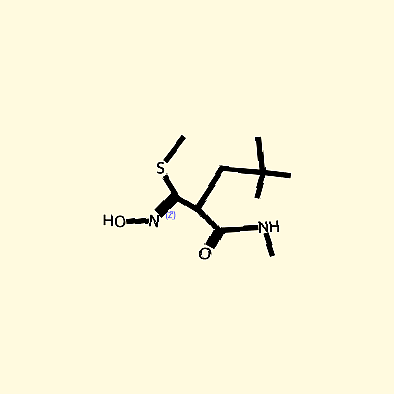 CNC(=O)C(CC(C)(C)C)/C(=N/O)SC